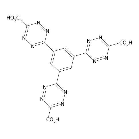 O=C(O)c1nnc(-c2cc(-c3nnc(C(=O)O)nn3)cc(-c3nnc(C(=O)O)nn3)c2)nn1